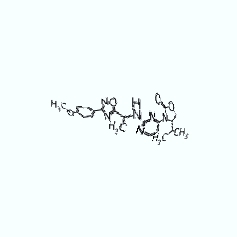 COc1ccc(-c2noc([C@H](C)Nc3nccc(N4C(=O)OCC4C(C)C)n3)n2)cc1